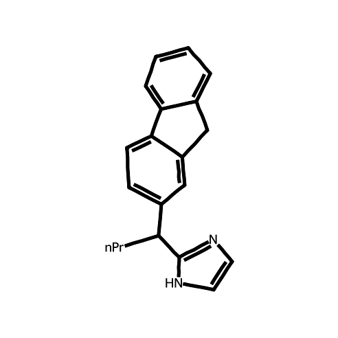 CCCC(c1ccc2c(c1)Cc1ccccc1-2)c1ncc[nH]1